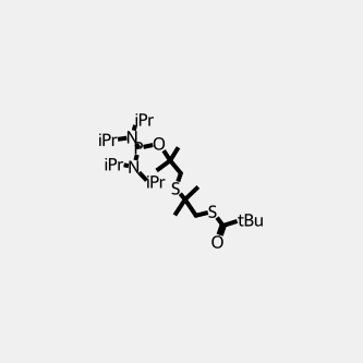 CC(C)N(C(C)C)P(OC(C)(C)CSC(C)(C)CSC(=O)C(C)(C)C)N(C(C)C)C(C)C